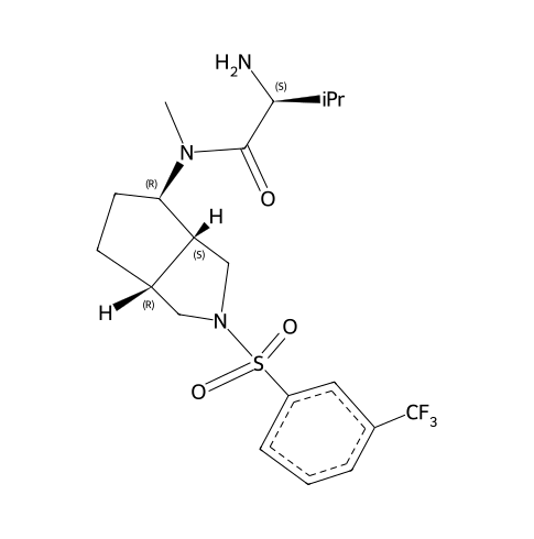 CC(C)[C@H](N)C(=O)N(C)[C@@H]1CC[C@H]2CN(S(=O)(=O)c3cccc(C(F)(F)F)c3)C[C@H]21